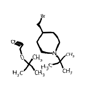 CC(C)(C)N1CCC(CBr)CC1.CC(C)(C)OC=O